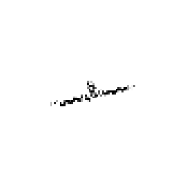 CC(C)CCCCCOC[S+]([O-])COCCCCCC(C)C.[C].[C]